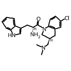 CN(C)C[C@@H]1Cc2cc(Cl)ccc2N(C(=O)[C@H](N)Cc2c[nH]c3ccccc23)C1